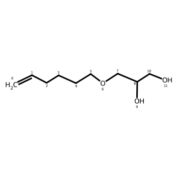 C=CCCCCOCC(O)CO